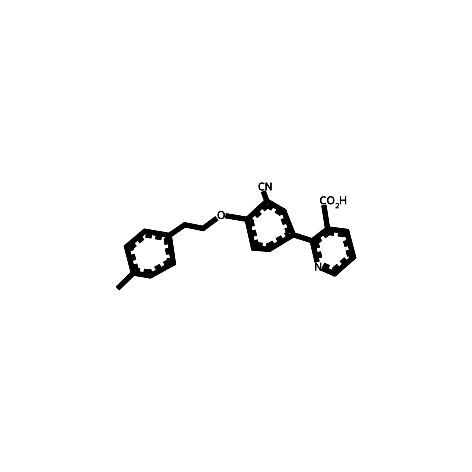 Cc1ccc(CCOc2ccc(-c3ncccc3C(=O)O)cc2C#N)cc1